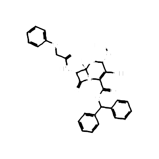 CO[C@H]1S[C@H]2[C@@H](NC(=O)COc3ccccc3)C(=O)N2C(C(=O)OC(c2ccccc2)c2ccccc2)=C1C